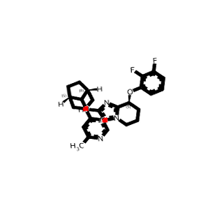 Cc1cc(N2C[C@H]3CC[C@@H](C2)C3Nc2nc3n(n2)CCC[C@@H]3Oc2cccc(F)c2F)ncn1